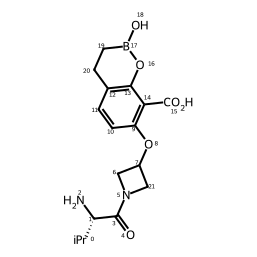 CC(C)[C@H](N)C(=O)N1CC(Oc2ccc3c(c2C(=O)O)OB(O)CC3)C1